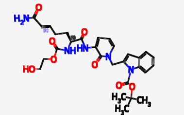 CC(C)(C)OC(=O)n1c(Cn2cccc(NC(=O)[C@H](CC/C=C/C(N)=O)NC(=O)OCCO)c2=O)cc2ccccc21